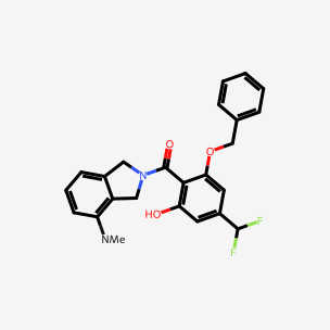 CNc1cccc2c1CN(C(=O)c1c(O)cc(C(F)F)cc1OCc1ccccc1)C2